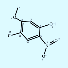 COc1cc(O)c([N+](=O)[O-])cc1Cl